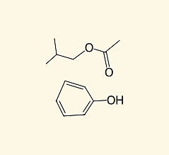 CC(=O)OCC(C)C.Oc1ccccc1